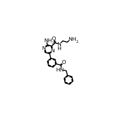 NCCNC(=O)c1nc(-c2cccc(C(=O)NCc3ccccc3)c2)cnc1N